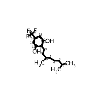 CC(C)CCCC(C)CCc1c(O)cc(C(F)(F)F)cc1O